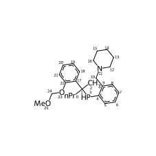 CCCC(C)(Pc1ccccc1CN1CCCCC1)c1ccccc1OCOC